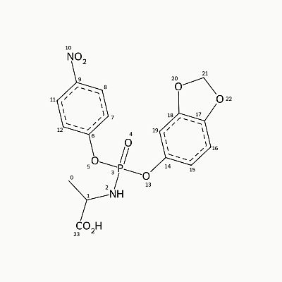 CC(NP(=O)(Oc1ccc([N+](=O)[O-])cc1)Oc1ccc2c(c1)OCO2)C(=O)O